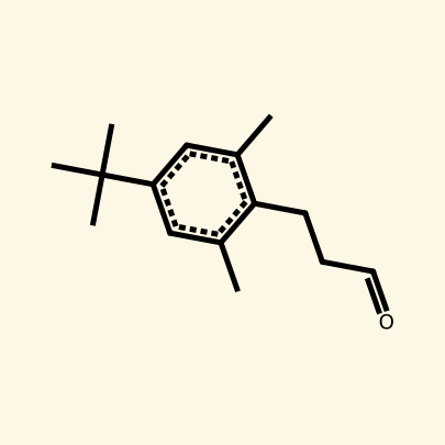 Cc1cc(C(C)(C)C)cc(C)c1CCC=O